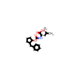 CC(C)C[C@H](NC(=O)OC1CCCC1Cc1ccccc1)C(=O)O